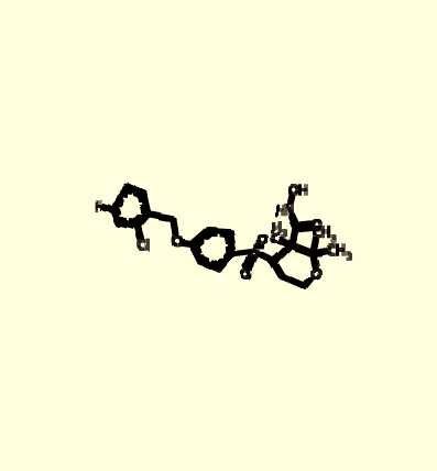 CC1(C)OCCC(S(=O)(=O)c2ccc(OCc3ccc(F)cc3Cl)cc2)C1(C)C(=O)NO